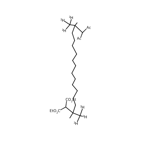 [2H]C([2H])([2H])C(C)(CCCCCCCCCCCCC(C)(C(C(=O)OCC)C(=O)OCC)C([2H])([2H])[2H])C(C(C)=O)C(C)=O